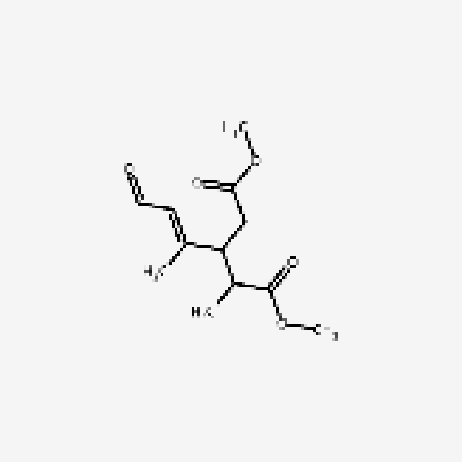 COC(=O)CC(C(C)=CC=O)C(C)C(=O)OC